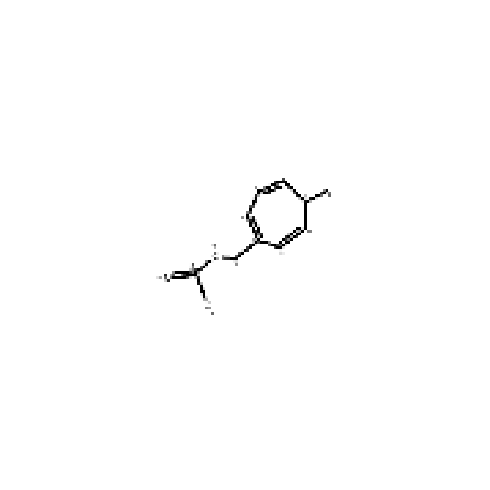 CC1C=CC=C(COC(=O)Cl)C=C1